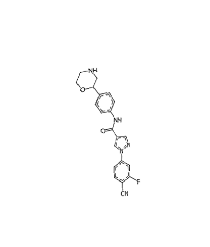 N#Cc1ccc(-n2cc(C(=O)Nc3ccc(C4CNCCO4)cc3)cn2)cc1F